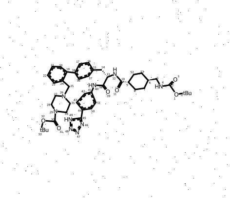 CC(C)(C)OC(=O)NC[C@H]1CC[C@H](C(=O)N[C@@H](Cc2ccc(-c3ccccc3CN3CCN(C(=O)OC(C)(C)C)CC3)cc2)C(=O)Nc2ccc(-c3nnn[nH]3)cc2)CC1